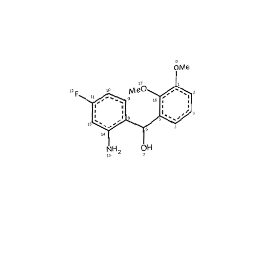 COc1cccc(C(O)c2ccc(F)cc2N)c1OC